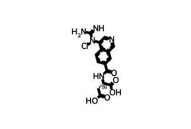 N=C(N)N(Cl)c1cncc2cc(C(=O)N[C@@H](CC(=O)O)C(=O)O)ccc12